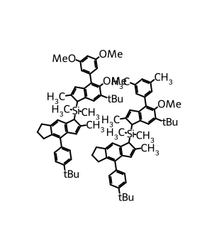 COc1c(C(C)(C)C)cc2c(c1-c1cc(C)cc(C)c1)C=C(C)C2[Si](C)(C)C1C(C)=Cc2c1cc1c(c2-c2ccc(C(C)(C)C)cc2)CCC1.COc1cc(OC)cc(-c2c3c(cc(C(C)(C)C)c2OC)C([Si](C)(C)C2C(C)=Cc4c2cc2c(c4-c4ccc(C(C)(C)C)cc4)CCC2)C(C)=C3)c1